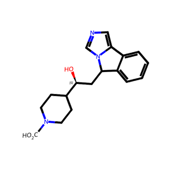 O=C(O)N1CCC([C@@H](O)CC2c3ccccc3-c3cncn32)CC1